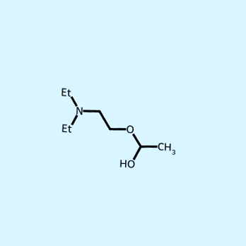 CCN(CC)CCOC(C)O